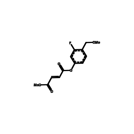 COCc1ccc(OC(=O)/C=C/C(=O)OC)cc1F